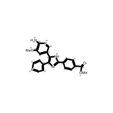 COC(=O)c1ccc(-c2nc(-c3ccncc3)c(-c3cnc(N)c(OC)c3)[nH]2)cc1